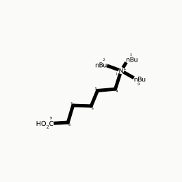 CCCC[N+](CCCC)(CCCC)CCCCCC(=O)O